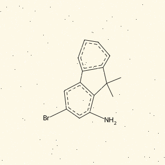 CC1(C)c2ccccc2-c2cc(Br)cc(N)c21